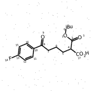 CCC(C)OC(=O)C(CCCC(=O)c1ccc(F)cc1)C(=O)O